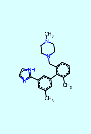 Cc1cc(-c2ncc[nH]2)cc(-c2c(C)cccc2CN2CCN(C)CC2)c1